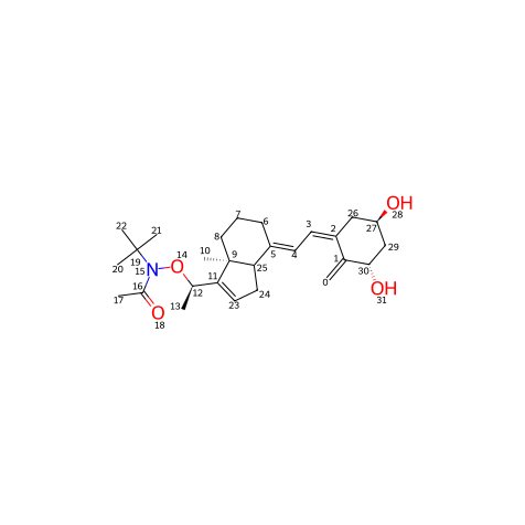 C=C1C(=CC=C2CCC[C@]3(C)C([C@@H](C)ON(C(C)=O)C(C)(C)C)=CCC23)C[C@@H](O)C[C@@H]1O